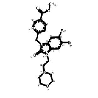 COC(=O)c1ccc(Cn2c(=O)n(CCN3CCOCC3)c3cc(Br)c(F)cc32)nc1